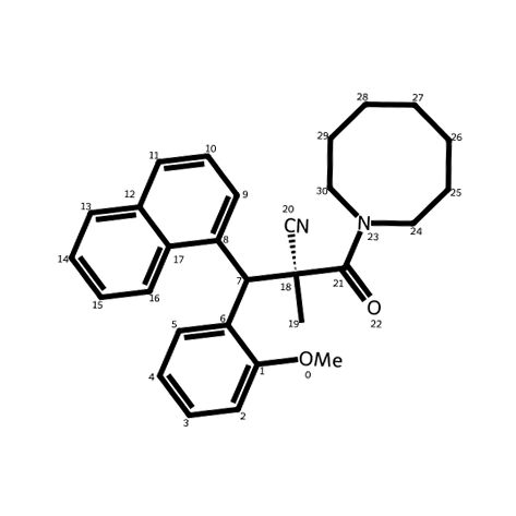 COc1ccccc1C(c1cccc2ccccc12)[C@@](C)(C#N)C(=O)N1CCCCCCC1